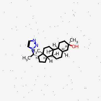 CC([C@H]1CC[C@H]2[C@@H]3CC[C@@H]4C[C@](C)(O)CC[C@@H]4[C@H]3CC[C@]12C)n1ccnn1